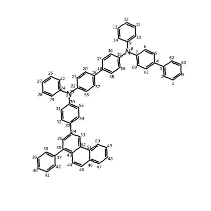 c1ccc(-c2ccc(N(c3ccccc3)c3ccc(-c4ccc(N(c5ccccc5)c5ccc(-c6cc(-c7ccccc7)c7ccc8ccccc8c7c6)cc5)cc4)cc3)cc2)cc1